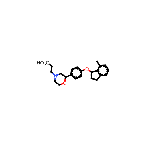 Cc1cccc2c1C(Oc1ccc(C3CN(CCC(=O)O)CCO3)cc1)CC2